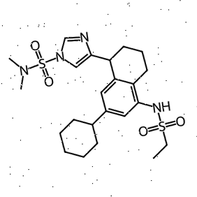 CCS(=O)(=O)Nc1cc(C2CCCCC2)cc2c1CCCC2c1cn(S(=O)(=O)N(C)C)cn1